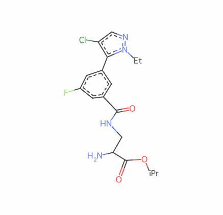 CCn1ncc(Cl)c1-c1cc(F)cc(C(=O)NCC(N)C(=O)OC(C)C)c1